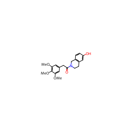 COc1cc(CC(=O)N2CCc3cc(O)ccc3C2)cc(OC)c1OC